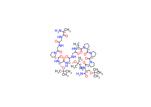 C[C@H](N)C(=O)NCC(=O)NCC(=O)N1CCC[C@H]1C(=O)N[C@@H](COC(C)(C)C)C(=O)N[C@@H](COC(C)(C)C)C(=O)NCC(=O)N[C@@H](C)C(=O)N1CCC[C@H]1C(=O)N1CCC[C@H]1C(=O)N1CCC[C@H]1C(=O)N[C@@H](COC(C)(C)C)C(N)=O